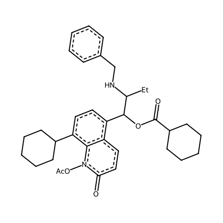 CCC(NCc1ccccc1)C(OC(=O)C1CCCCC1)c1ccc(C2CCCCC2)c2c1ccc(=O)n2OC(C)=O